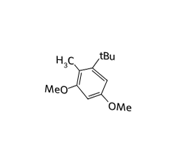 COc1cc(OC)c(C)c(C(C)(C)C)c1